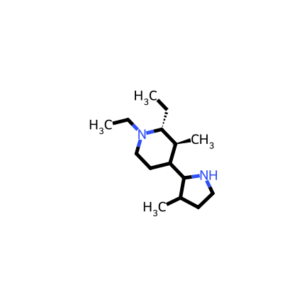 CC[C@@H]1[C@@H](C)C(C2NCCC2C)CCN1CC